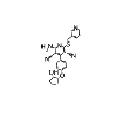 N#Cc1c(N)nc(SCc2cccnc2)c(C#N)c1-c1ccc(O[C@@H]2CCC[C@H]2O)cc1